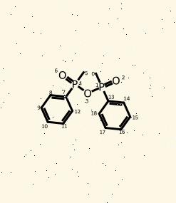 CP(=O)(OP(C)(=O)c1ccccc1)c1ccccc1